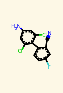 N#Cc1cc(F)ccc1-c1c(Cl)cc(N)cc1Cl